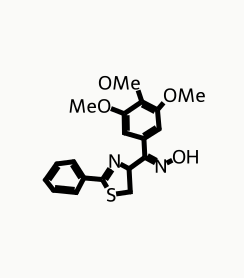 COc1cc(/C(=N\O)C2CSC(c3ccccc3)=N2)cc(OC)c1OC